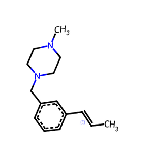 C/C=C/c1cccc(CN2CCN(C)CC2)c1